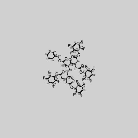 O=C(CN(CC(=O)Oc1c(F)c(F)cc(F)c1F)C(=O)CCC(NC(=O)OCc1ccccc1)C(=O)N(CC(=O)Oc1c(F)c(F)cc(F)c1F)CC(=O)Oc1c(F)c(F)cc(F)c1F)Oc1c(F)c(F)cc(F)c1F